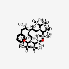 O=C(O)[C@H](Cc1ccccc1)N(CCN(C(P(=O)(O)O)P(=O)(O)O)C(P(=O)(O)O)P(=O)(O)O)CCN(C(P(=O)(O)O)P(=O)(O)O)C(P(=O)(O)O)P(=O)(O)O